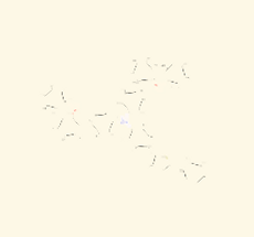 c1ccc(-c2ccc(-c3ccc(N(c4ccc(-c5cccc6c5oc5ccccc56)cc4)c4ccc(-c5cccc6c5oc5ccccc56)cc4)cc3)s2)cc1